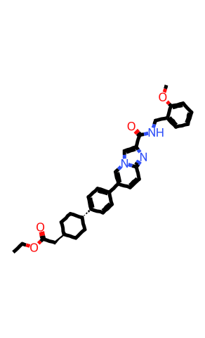 CCOC(=O)C[C@H]1CC[C@H](c2ccc(-c3ccc4nc(C(=O)NCc5ccccc5OC)cn4c3)cc2)CC1